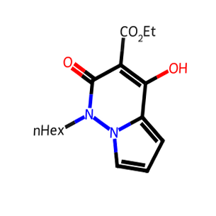 CCCCCCn1c(=O)c(C(=O)OCC)c(O)c2cccn21